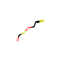 [O]CSOCC=S